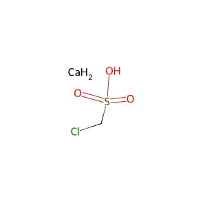 O=S(=O)(O)CCl.[CaH2]